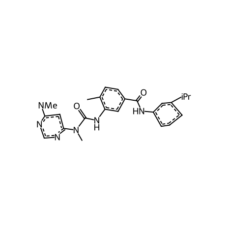 CNc1cc(N(C)C(=O)Nc2cc(C(=O)Nc3cccc(C(C)C)c3)ccc2C)ncn1